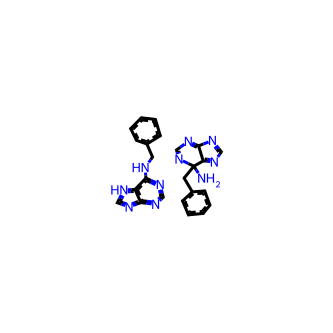 NC1(Cc2ccccc2)N=CN=C2N=CN=C21.c1ccc(CNc2ncnc3nc[nH]c23)cc1